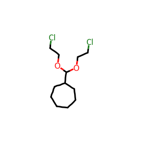 ClCCOC(OCCCl)C1CCCCCC1